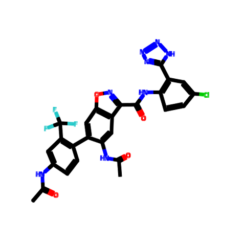 CC(=O)Nc1ccc(-c2cc3onc(C(=O)Nc4ccc(Cl)cc4-c4nnn[nH]4)c3cc2NC(C)=O)c(C(F)(F)F)c1